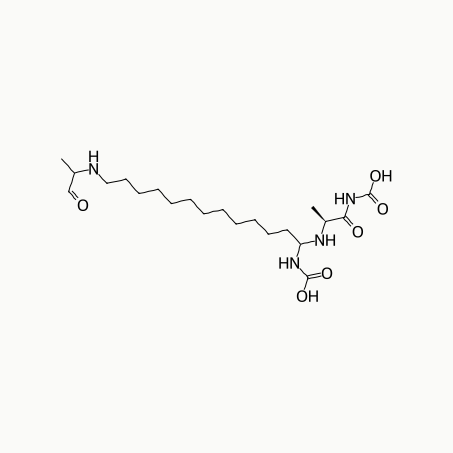 CC(C=O)NCCCCCCCCCCCCC(NC(=O)O)N[C@@H](C)C(=O)NC(=O)O